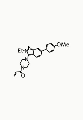 C=CC(=O)N1CCN(c2c3ccc(-c4ccc(OC)cc4)cc3nn2CC)CC1